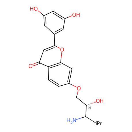 CC(C)C(N)[C@@H](O)COc1ccc2c(=O)cc(-c3cc(O)cc(O)c3)oc2c1